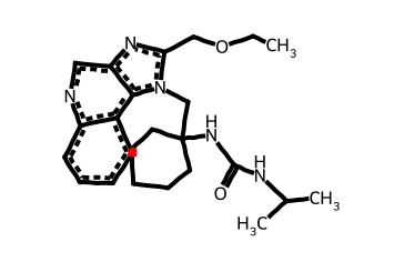 CCOCc1nc2cnc3ccccc3c2n1CC1(NC(=O)NC(C)C)CCCCC1